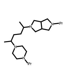 CC(C)N1CCN(C(C)CCC(C)N2CC3CN(C(C)C)CC3C2)CC1